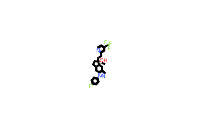 CC[C@]12Cc3cnn(-c4ccc(F)cc4)c3C=C1CC[C@@]2(O)CCc1cc(C(F)(F)F)ccn1